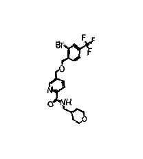 O=C(NCC1CCOCC1)c1ccc(COCc2ccc(C(F)(F)F)cc2Br)cn1